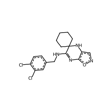 Clc1ccc(CNC2=Nc3oncc3NC23CCCCC3)cc1Cl